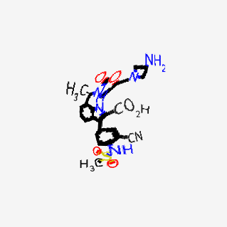 C[C@@H](c1cccc2c(-c3ccc(NS(C)(=O)=O)c(C#N)c3)c(C(=O)O)[nH]c12)n1cc(CN2CC(N)C2)oc1=O